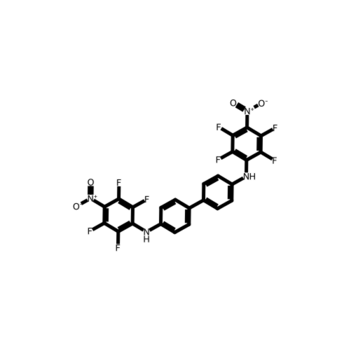 O=[N+]([O-])c1c(F)c(F)c(Nc2ccc(-c3ccc(Nc4c(F)c(F)c([N+](=O)[O-])c(F)c4F)cc3)cc2)c(F)c1F